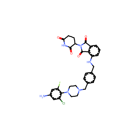 Nc1cc(F)c(N2CCN(Cc3ccc(CNc4cccc5c4C(=O)N(C4CCC(=O)NC4=O)C5=O)cc3)CC2)c(Cl)c1